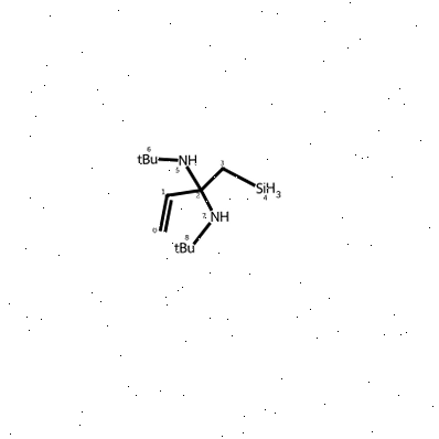 C=CC(C[SiH3])(NC(C)(C)C)NC(C)(C)C